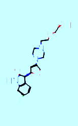 O=C1Nc2cc(F)ccc2/C1=C1/C=C(N2CCN(CCOCCO)CC2)CO1